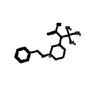 CC(C)(C)N(C(=O)O)N1CCC[C@@H](OCc2ccccc2)C1